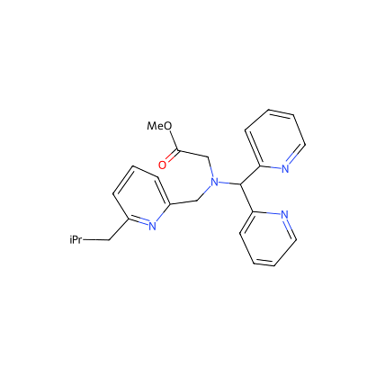 COC(=O)CN(Cc1cccc(CC(C)C)n1)C(c1ccccn1)c1ccccn1